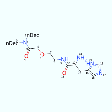 CCCCCCCCCCN(CCCCCCCCCC)C(=O)COCCNC(=O)C(N)Cc1cnc[nH]1